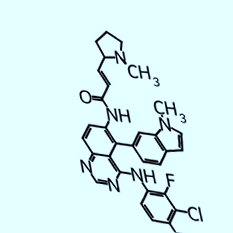 CN1CCCC1C=CC(=O)Nc1ccc2ncnc(Nc3ccc(F)c(Cl)c3F)c2c1-c1ccc2ccn(C)c2c1